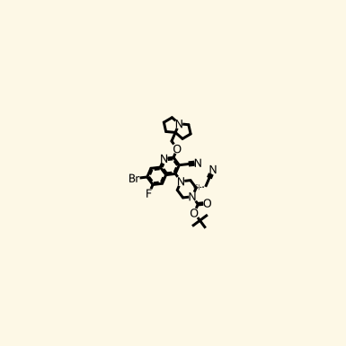 CC(C)(C)OC(=O)N1CCN(c2c(C#N)c(OCC34CCCN3CCC4)nc3cc(Br)c(F)cc23)C[C@@H]1CC#N